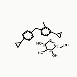 Cc1cc(C2CC2)c([C@@H]2O[C@H](CO)[C@@H](O)C(O)[C@H]2O)cc1Cc1ccc(C2CC2)cc1